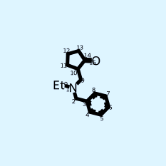 CCN(Cc1ccccc1)CC1CCCC1=O